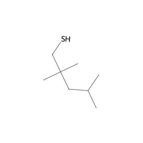 CC(C)CC(C)(C)CS